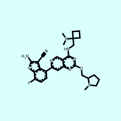 CN1CCCC1COc1nc(NCC2(N(C)C)CCC2)c2cnc(-c3ccc(F)c4sc(N)c(C#N)c34)cc2n1